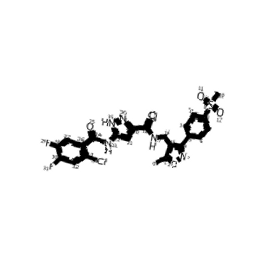 Cc1onc(-c2ccc(S(C)(=O)=O)cc2)c1CNC(=O)c1cc(NC(=O)c2cc(F)c(F)cc2Cl)[nH]n1